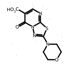 O=C(O)c1cnc2sc(N3CCOCC3)nn2c1=O